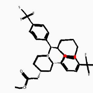 COC(=O)C[C@@H]1CCN([C@@H](c2ccc(C(F)(F)F)cc2)C2CCCCC2)[C@H](c2ccc(C(F)(F)F)cc2)C1